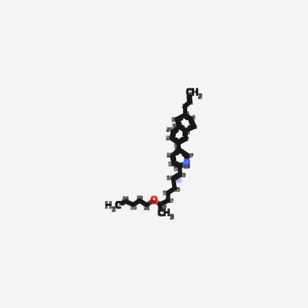 C=CCc1ccc2cc(-c3ccc(/C=C/CCCC(C)OCCCCC)nc3)ccc2c1